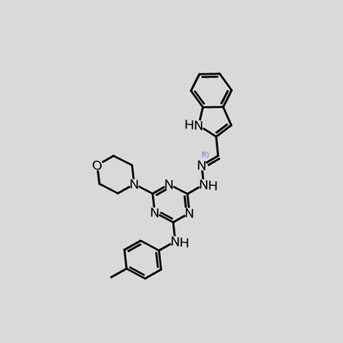 Cc1ccc(Nc2nc(N/N=C/c3cc4ccccc4[nH]3)nc(N3CCOCC3)n2)cc1